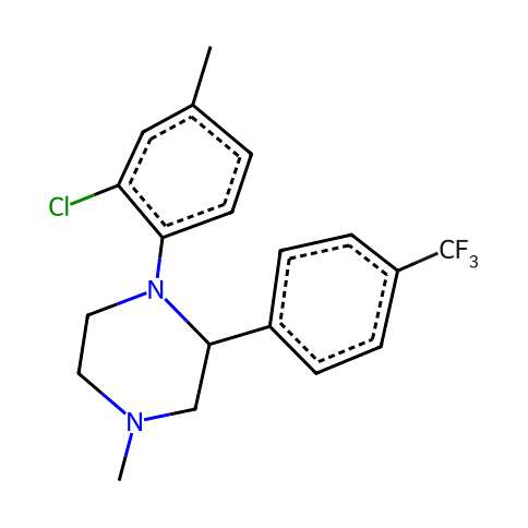 Cc1ccc(N2CCN(C)CC2c2ccc(C(F)(F)F)cc2)c(Cl)c1